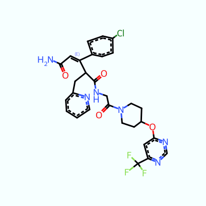 NC(=O)/C=C(/c1ccc(Cl)cc1)C(Cc1ccccn1)C(=O)NCC(=O)N1CCC(Oc2cc(C(F)(F)F)ncn2)CC1